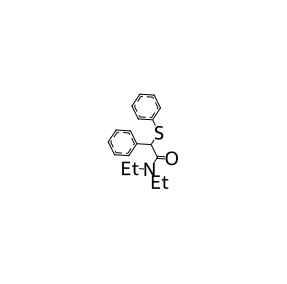 CCN(CC)C(=O)C(Sc1ccccc1)c1ccccc1